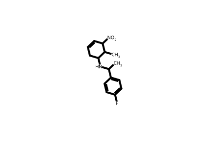 CC(NC1CC=CC([N+](=O)[O-])C1C)c1ccc(F)cc1